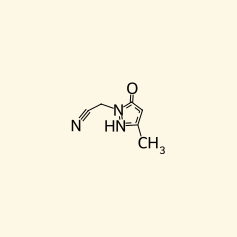 Cc1cc(=O)n(CC#N)[nH]1